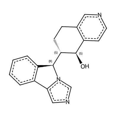 O[C@@H]1c2ccncc2CC[C@H]1[C@@H]1c2ccccc2-c2cncn21